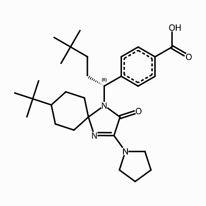 CC(C)(C)CC[C@H](c1ccc(C(=O)O)cc1)N1C(=O)C(N2CCCC2)=NC12CCC(C(C)(C)C)CC2